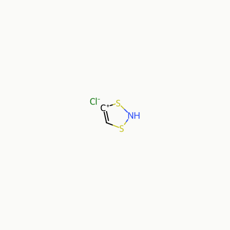 [C+]1=CSNS1.[Cl-]